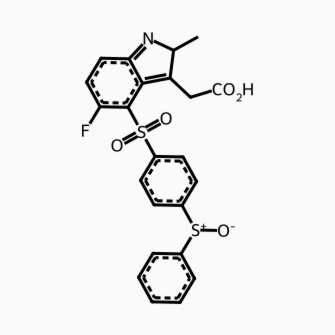 CC1N=c2ccc(F)c(S(=O)(=O)c3ccc([S+]([O-])c4ccccc4)cc3)c2=C1CC(=O)O